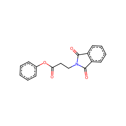 O=C(CCN1C(=O)c2ccccc2C1=O)Oc1ccccc1